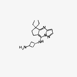 CCC1(CC)CCc2c1nc1ccnn1c2NC1CC(N)C1